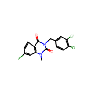 Cn1c(=O)n(Cc2ccc(Cl)c(Cl)c2)c(=O)c2ccc(F)cc21